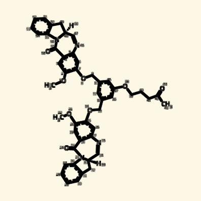 COc1cc2c(cc1OCc1cc(COc3cc4c(cc3OC)C(=O)N3c5ccccc5C[C@H]3C=N4)cc(OCCCC(C)=O)c1)N=C[C@@H]1Cc3ccccc3N1C2=O